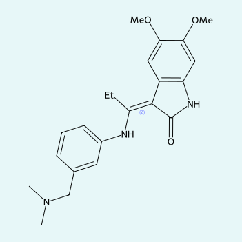 CC/C(Nc1cccc(CN(C)C)c1)=C1/C(=O)Nc2cc(OC)c(OC)cc21